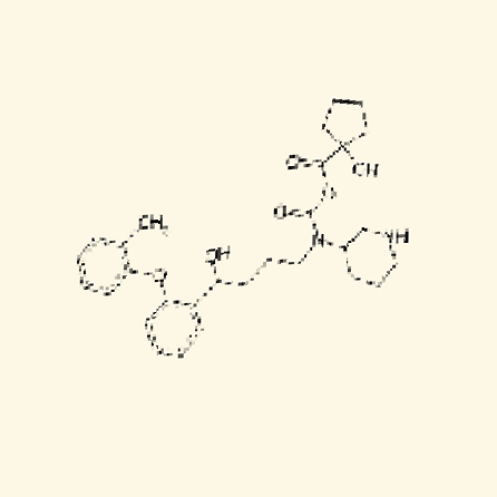 Cc1ccccc1Oc1ccccc1C(O)CCCN(C(=O)OC(=O)C1(O)CCCC1)C1CCCNC1